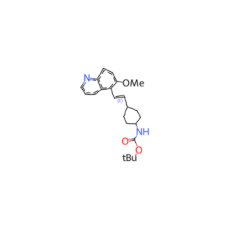 COc1ccc2ncccc2c1/C=C/C1CCC(NC(=O)OC(C)(C)C)CC1